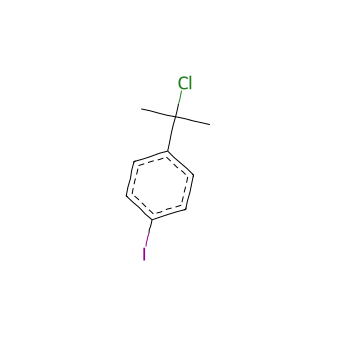 CC(C)(Cl)c1ccc(I)cc1